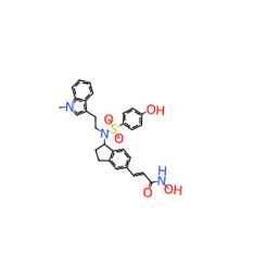 Cn1cc(CCN(C2CCc3cc(/C=C/C(=O)NO)ccc32)S(=O)(=O)c2ccc(O)cc2)c2ccccc21